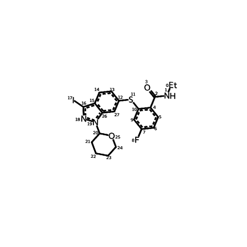 CCNC(=O)c1ccc(F)cc1Sc1ccc2c(I)nn(C3CCCCO3)c2c1